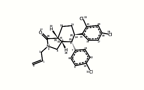 C=CCN1C[C@H]2[C@@H](c3ccc(Cl)cc3)[C@H](c3ccc(Cl)cc3Cl)CC[C@H]2C1=O